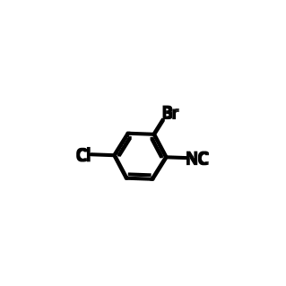 [C-]#[N+]c1ccc(Cl)cc1Br